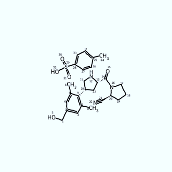 Cc1cc(CO)cc(C)c1[C@@H]1CN[C@H](C(=O)N2CCC[C@H]2C#N)C1.Cc1ccc(S(=O)(=O)O)cc1